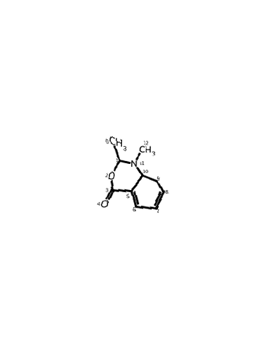 CC1OC(=O)C2=CC=CCC2N1C